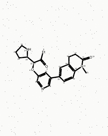 CCC(=O)[C@@H](Oc1cncc(-c2ccc3c(c2)CCC(=O)N3C)c1)C1CCCN1